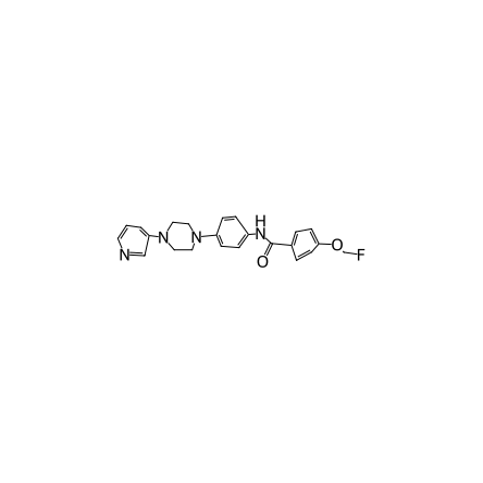 O=C(Nc1ccc(N2CCN(c3cccnc3)CC2)cc1)c1ccc(OCF)cc1